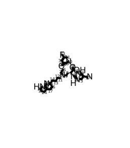 N#Cc1cnc(N[C@@H](CCN(CCCCc2ccc3c(n2)NCCC3)CCOc2cncc(F)c2)C(=O)O)nc1